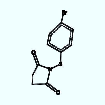 O=C1CCC(=O)N1Sc1ccc(Br)cc1